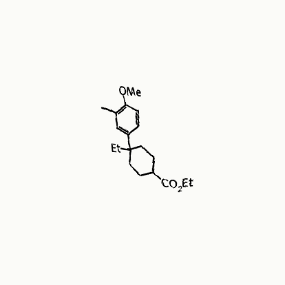 CCOC(=O)C1CCC(CC)(c2ccc(OC)c(C)c2)CC1